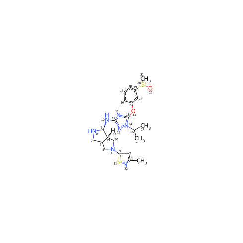 Cc1cc(N2CC3CN[C@@H](Nc4nc(Oc5cccc([S+](C)[O-])c5)n(C(C)C)n4)[C@@H]3C2)sn1